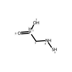 O=[PH](O)CNS